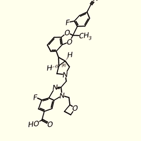 CC1(c2ccc(C#N)cc2F)Oc2cccc(C3[C@H]4CN(Cc5nc6c(F)cc(C(=O)O)cc6n5CC5CCO5)C[C@@H]34)c2O1